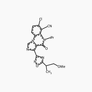 COCC(C)c1nc(-c2ncn3c2c(=O)n(C(C)C)c2c(C#N)c(Cl)ccc23)no1